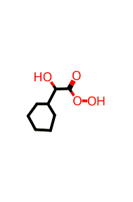 O=C(OO)C(O)C1CCCCC1